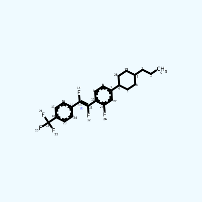 CCCC1CCC(c2ccc(/C(F)=C(\F)c3ccc(C(F)(F)F)cc3)c(F)c2)CC1